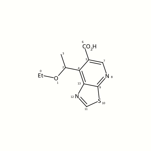 CCOC(C)c1c(C(=O)O)cnc2scnc12